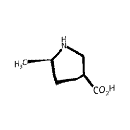 C[C@@H]1CC(C(=O)O)CN1